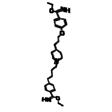 CCOC(=N)c1ccc(CCCCN2CCC(CCCOc3ccc(C(=N)OCC)cc3)CC2)cc1